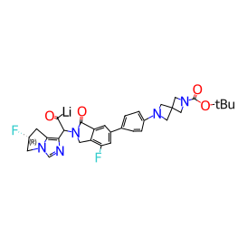 [Li][C](=O)C(c1ncn2c1C[C@@H](F)C2)N1Cc2c(F)cc(-c3ccc(N4CC5(CN(C(=O)OC(C)(C)C)C5)C4)cc3)cc2C1=O